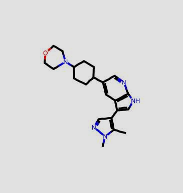 Cc1c(-c2c[nH]c3ncc(C4CCC(N5CCOCC5)CC4)cc23)cnn1C